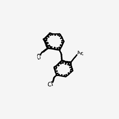 CC(=O)c1ccc(Cl)cc1-c1ccccc1Cl